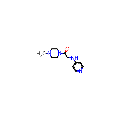 CN1CCN(C(=O)CNc2ccncc2)CC1